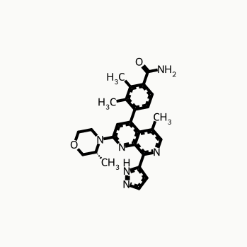 Cc1c(C(N)=O)ccc(-c2cc(N3CCOC[C@H]3C)nc3c(-c4ccn[nH]4)ncc(C)c23)c1C